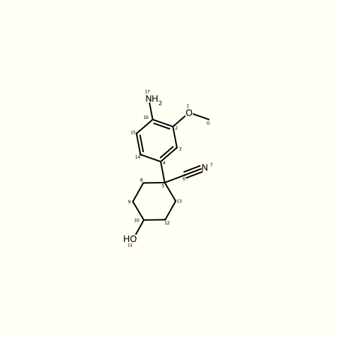 COc1cc(C2(C#N)CCC(O)CC2)ccc1N